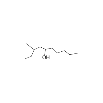 CCCCCC(O)CC(C)CC